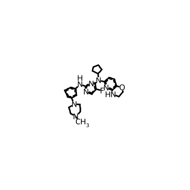 CN1CCN(c2cccc(Nc3ncc(F)c(N(c4ccc5c(n4)NCCO5)C4CCCC4)n3)c2)CC1